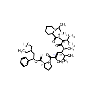 CCN(CC)CC(OC(=O)[C@@H]1CCCN1C(=O)/C(C)=C/[C@H](C(C)C)N(C)C(=O)[C@@H](NC(=O)C1CCCCN1C(C)C)C(C)C)c1ccccc1